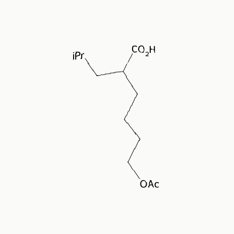 CC(=O)OCCCCC(CC(C)C)C(=O)O